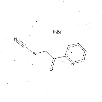 Br.N#CSCC(=O)c1ccccn1